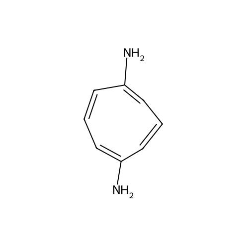 NC1=C/C=C\C(N)=C/C=C\1